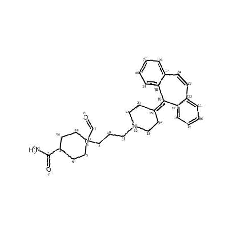 NC(=O)C1CC[N+](C=O)(CCCN2CCC(=C3c4ccccc4C=Cc4ccccc43)CC2)CC1